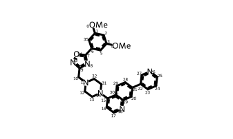 COc1cc(OC)cc(-c2nc(CN3CCN(c4ccnc5cc(-c6cccnc6)ccc45)CC3)no2)c1